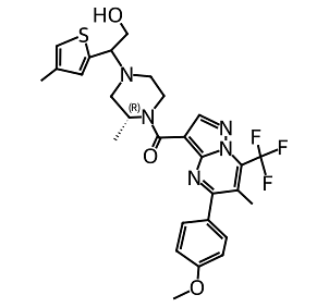 COc1ccc(-c2nc3c(C(=O)N4CCN(C(CO)c5cc(C)cs5)C[C@H]4C)cnn3c(C(F)(F)F)c2C)cc1